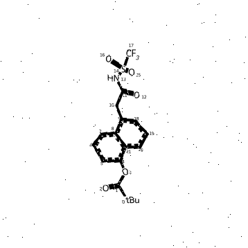 CC(C)(C)C(=O)Oc1cccc2c(CC(=O)NS(=O)(=O)C(F)(F)F)cccc12